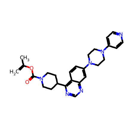 C=C(C)OC(=O)N1CCC(c2ncnc3cc(N4CCN(c5ccncc5)CC4)ccc23)CC1